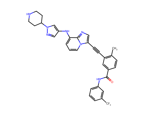 Cc1ccc(C(=O)Nc2cccc(C(F)(F)F)c2)cc1C#Cc1cnc2c(Nc3cnn(C4CCNCC4)c3)cccn12